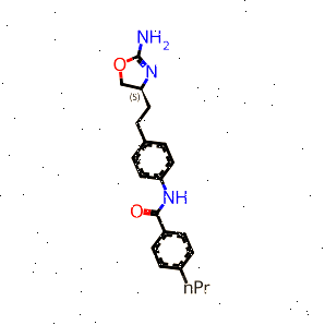 CCCc1ccc(C(=O)Nc2ccc(CC[C@H]3COC(N)=N3)cc2)cc1